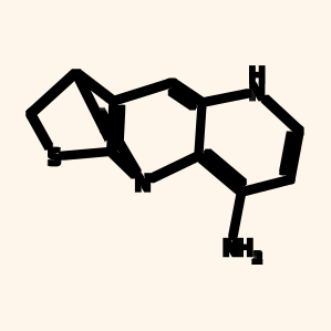 NC1=C2C(=CC3=C4SCC3CCN42)NC=C1